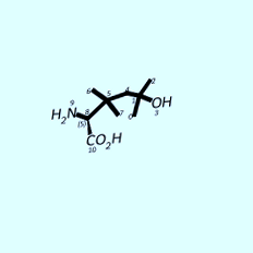 CC(C)(O)CC(C)(C)[C@H](N)C(=O)O